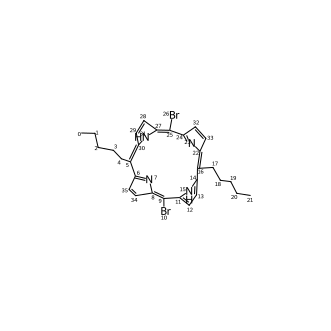 CCCCCc1c2nc(c(Br)c3ccc([nH]3)c(CCCCC)c3nc(c(Br)c4ccc1[nH]4)C=C3)C=C2